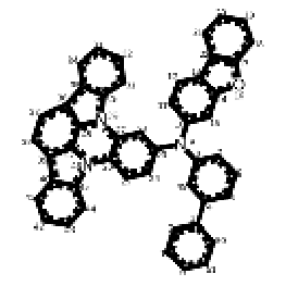 c1ccc(-c2cccc(N(c3ccc4c(c3)oc3ccccc34)c3ccc4c(c3)n3c5ccccc5c5ccc6c7ccccc7n4c6c53)c2)cc1